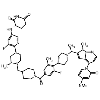 CNc1ccn(-c2ccnc3c2cc([C@H](C)N2CC=C(c4c(C)cc(C(=O)N5CCC(CN6CCN(c7ncc(N[C@H]8CCC(=O)NC8=O)cc7F)C[C@@H]6C)CC5)cc4F)CC2)n3C)c(=O)c1